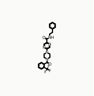 O=C(NCCc1ccccc1)c1cnc(N2CCN(C(=O)c3ccccc3C(F)(F)F)CC2)cn1